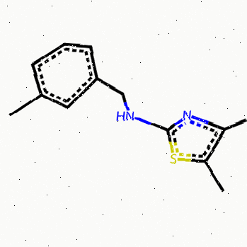 Cc1cccc(CNc2nc(C)c(C)s2)c1